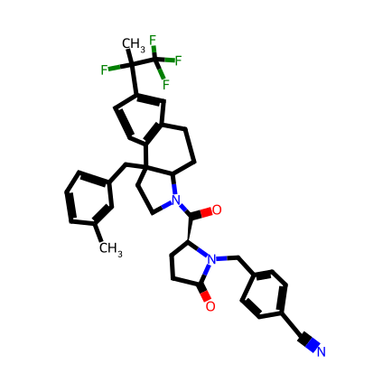 Cc1cccc(CC23CCN(C(=O)[C@@H]4CCC(=O)N4Cc4ccc(C#N)cc4)C2CCc2cc(C(C)(F)C(F)(F)F)ccc23)c1